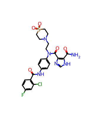 NC(=O)c1[nH]cnc1C(=O)N(CCN1CCS(=O)(=O)CC1)c1ccc(NC(=O)c2ccc(F)cc2Cl)cc1